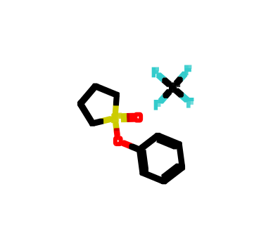 F[B-](F)(F)F.O=[S+]1(Oc2ccccc2)CCCC1